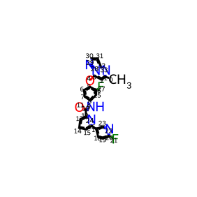 Cc1cc(Oc2ccc(NC(=O)c3cccc(-c4ccc(F)nc4)n3)cc2F)n2nccc2n1